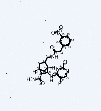 NC(=O)[C@H]1[C@@H]2CC(CNC(=O)Cc3cccc([N+](=O)[O-])c3)[C@@H](C2)[C@H]1Nc1nc(Cl)ncc1F